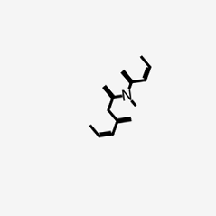 C=C(/C=C\C)CC(=C)N(C)C(=C)/C=C\C